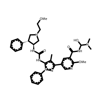 COCCN1C[C@@H](NC(=O)Nc2c(C)c(-c3cnc(OC)c(C(=O)NC(O)N(C)C)c3)nn2-c2ccccc2)[C@H](c2ccccc2)C1